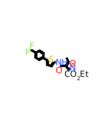 CCOC(=O)c1noc(C)c1C(=O)Nc1ccc(-c2ccc(C(F)F)cc2)s1